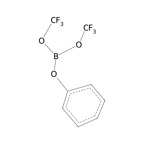 FC(F)(F)OB(Oc1ccccc1)OC(F)(F)F